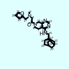 CN(CC(=O)N1CCc2c(ncnc2NCC2C3CC4CC(C3)CC2C4)C1)Cc1ccco1